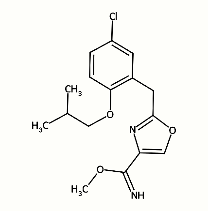 COC(=N)c1coc(Cc2cc(Cl)ccc2OCC(C)C)n1